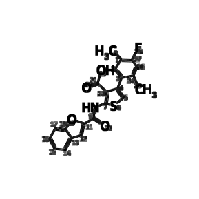 Cc1cc(-c2csc(NC(=O)c3cc4ccccc4o3)c2C(=O)O)c(C)cc1F